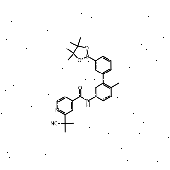 Cc1ccc(NC(=O)c2ccnc(C(C)(C)C#N)c2)cc1-c1cccc(B2OC(C)(C)C(C)(C)O2)c1